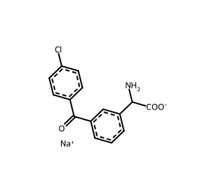 NC(C(=O)[O-])c1cccc(C(=O)c2ccc(Cl)cc2)c1.[Na+]